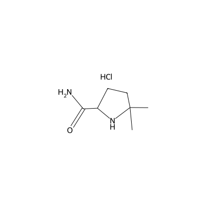 CC1(C)CCC(C(N)=O)N1.Cl